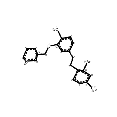 N#Cc1ccc([CH]Cc2ccc(C(F)(F)F)cc2Br)cc1OCc1cccnc1